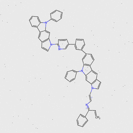 C=C/C(=N\C=C\n1ccc2cc3c4ccc(-c5cccc(-c6ccc(-n7ccc8cc9c%10ccccc%10n(-c%10ccccc%10)c9cc87)nc6)c5)cc4n(-c4ccccc4)c3cc21)c1ccccc1